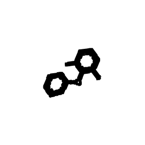 Cc1cccc(C)c1Oc1ccccc1